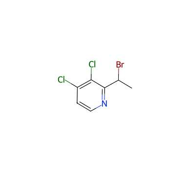 CC(Br)c1nccc(Cl)c1Cl